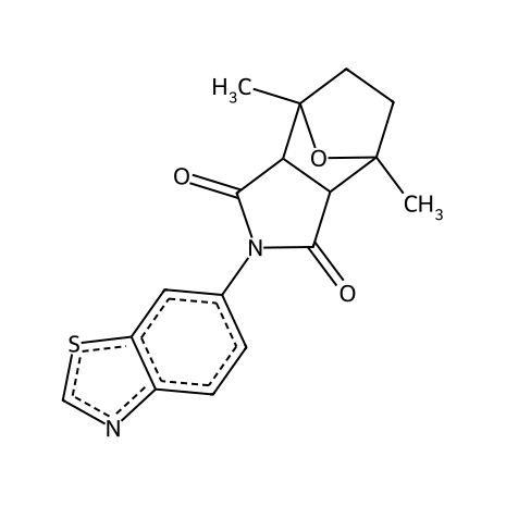 CC12CCC(C)(O1)C1C(=O)N(c3ccc4ncsc4c3)C(=O)C12